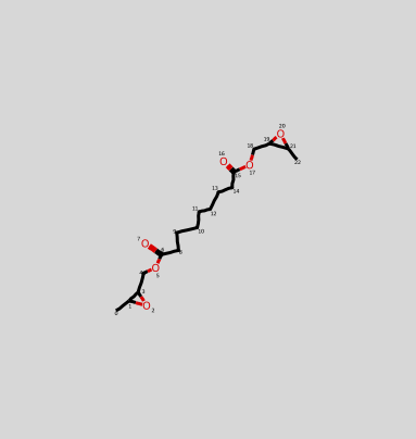 CC1OC1COC(=O)CCCCCCCC(=O)OCC1OC1C